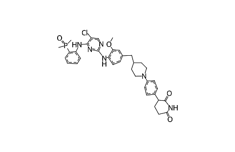 COc1cc(CC2CCN(c3ccc(C4CCC(=O)NC4=O)cc3)CC2)ccc1Nc1ncc(Cl)c(Nc2ccccc2P(C)(C)=O)n1